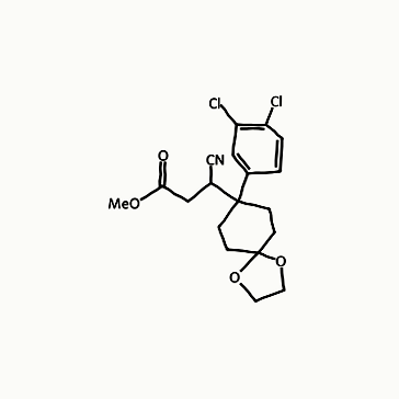 COC(=O)CC(C#N)C1(c2ccc(Cl)c(Cl)c2)CCC2(CC1)OCCO2